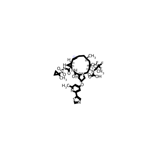 Cc1cc(O[C@@H]2C[C@H]3C(=O)N[C@]4(C(=O)NS(=O)(=O)C5(C)CC5)C[C@H]4/C=C\CC[C@@H](C)C[C@@H](C)[C@H](N(C(=O)O)C(C)(C)C(F)(F)F)C(=O)N3C2)cc(-c2cncs2)n1